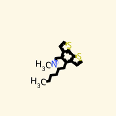 CCCCCCc1c(/C=N/C)c2ccsc2c2sccc12